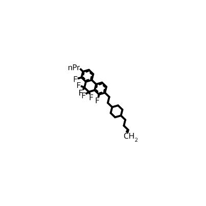 C=CCCC1CCC(CCc2ccc3c(c2F)C(F)(F)C(F)(F)c2c-3ccc(CCC)c2F)CC1